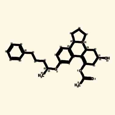 CC(=O)OC1=C2c3cc(O[C@@H](C)CCCc4ccccc4)ccc3C3CCCN3C2C[C@@H](O)C1